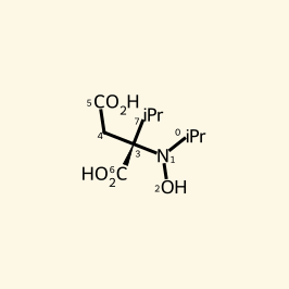 CC(C)N(O)[C@@](CC(=O)O)(C(=O)O)C(C)C